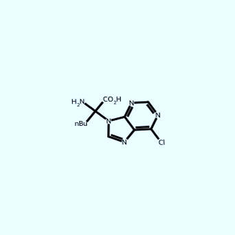 CCCCC(N)(C(=O)O)n1cnc2c(Cl)ncnc21